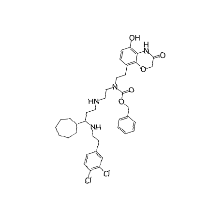 O=C1COc2c(CCN(CCNCCC(NCCc3ccc(Cl)c(Cl)c3)C3CCCCCC3)C(=O)OCc3ccccc3)ccc(O)c2N1